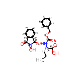 CCC[C@H](NC(=O)OCc1ccccc1)C(=O)O.O=C1c2ccccc2C(=O)N1O